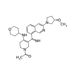 CO[C@@H]1CCN(c2cc3cccc(C(=N)C4=C(NC5CCOCC5)CCN(C(C)=O)C4)c3cn2)C1